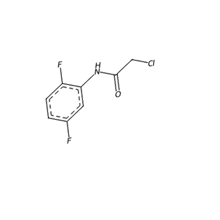 O=C(CCl)Nc1cc(F)ccc1F